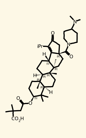 CC(C)C1=C2[C@H]3CC[C@@H]4[C@@]5(C)CC[C@H](OC(=O)CC(C)(C)C(=O)O)C(C)(C)[C@@H]5CC[C@@]4(C)[C@]3(C)CC[C@@]2(C(=O)N2CCC(N(C)C)CC2)CC1=O